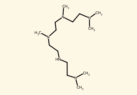 CN(C)CCNCCN(C)CCN(C)CCN(C)C